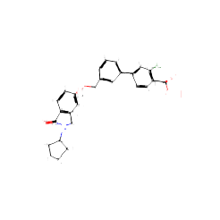 O=C(O)c1ccc(-c2cccc(COc3ccc4c(c3)CN(C3CCCC3)C4=O)c2)cc1Cl